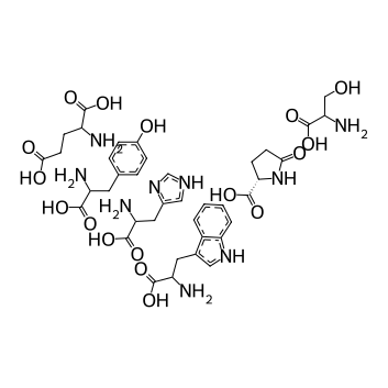 NC(CCC(=O)O)C(=O)O.NC(CO)C(=O)O.NC(Cc1c[nH]c2ccccc12)C(=O)O.NC(Cc1c[nH]cn1)C(=O)O.NC(Cc1ccc(O)cc1)C(=O)O.O=C1CC[C@@H](C(=O)O)N1